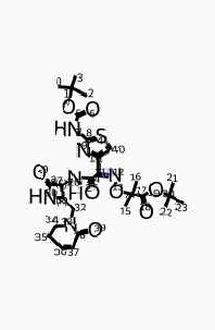 CC(C)(C)OC(=O)Nc1nc(/C(=N/OC(C)(C)C(=O)OC(C)(C)C)C(=O)N[C@@H]2C(=O)N[C@@H]2CN2CCC=CC2=O)cs1